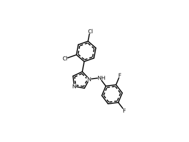 Fc1ccc(Nn2cncc2-c2ccc(Cl)cc2Cl)c(F)c1